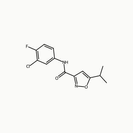 CC(C)c1cc(C(=O)Nc2ccc(F)c(Cl)c2)no1